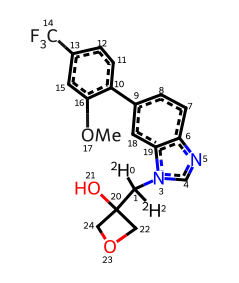 [2H]C([2H])(n1cnc2ccc(-c3ccc(C(F)(F)F)cc3OC)cc21)C1(O)COC1